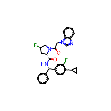 O=C(N[C@@H](c1ccccc1)c1ccc(C2CC2)c(F)c1)[C@@H]1C[C@@H](F)CN1C(=O)Cn1cnc2ccccc21